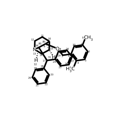 Cc1ccc(C)c(CO[C@@H]2C3CCN(CC3)[C@@H]2C(c2ccccc2)c2ccccc2)c1